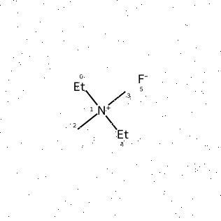 CC[N+](C)(C)CC.[F-]